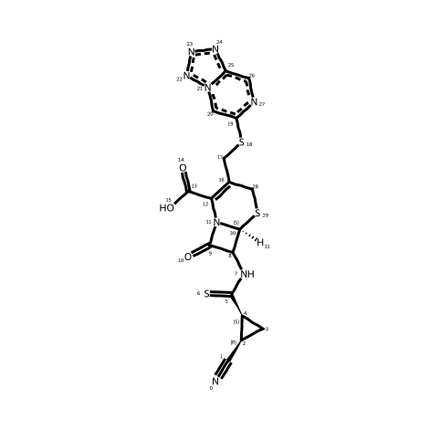 N#C[C@@H]1C[C@@H]1C(=S)NC1C(=O)N2C(C(=O)O)=C(CSc3cn4nnnc4cn3)CS[C@@H]12